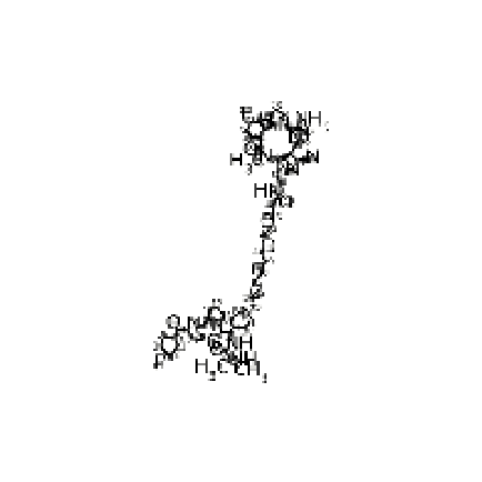 CN[C@H](C)C(=O)N[C@@H](C(=O)N1CCC[C@@H]1C1=NC(C(=O)c2ccc(F)cc2)CS1)C1CCN(CCOCCOCCOCCOCCC(=O)NCCn2nc(C#N)c3c2CN(C)C(=O)c2ccc(F)cc2[C@H]2CCCN2c2nc-3cnc2N)CC1